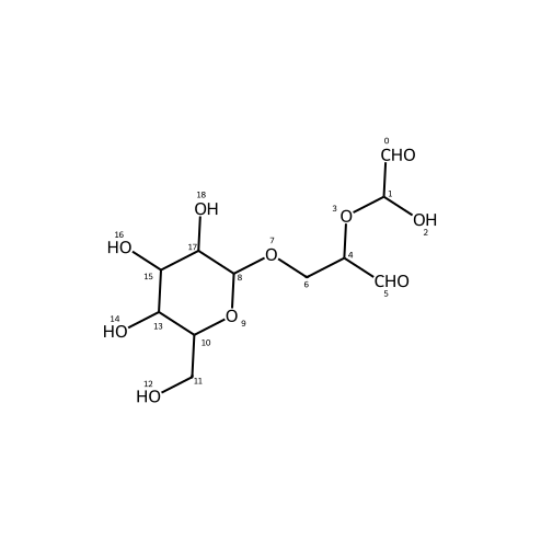 O=CC(O)OC(C=O)COC1OC(CO)C(O)C(O)C1O